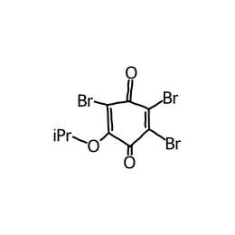 CC(C)OC1=C(Br)C(=O)C(Br)=C(Br)C1=O